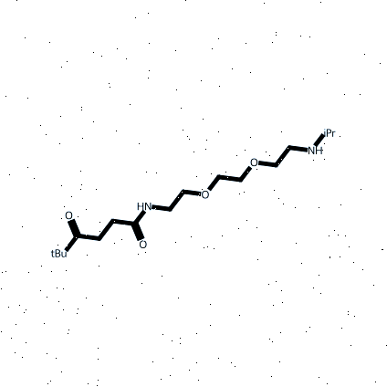 CC(C)NCCOCCOCCNC(=O)CCC(=O)C(C)(C)C